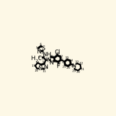 C=C(Nc1nccs1)C(c1ncn2c1CCC2)n1cc2c(Cl)cc(-c3ccc(N4CCCCC4)cc3)c(F)c2n1